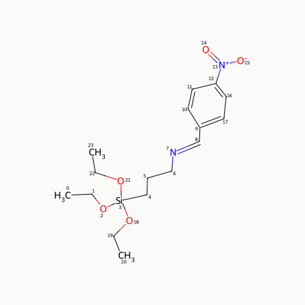 CCO[Si](CCCN=Cc1ccc([N+](=O)[O-])cc1)(OCC)OCC